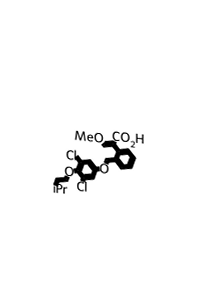 COC=C(C(=O)O)c1ccccc1COc1cc(Cl)c(OCCC(C)C)c(Cl)c1